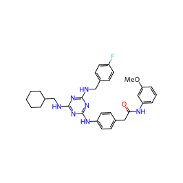 COc1cccc(NC(=O)Cc2ccc(Nc3nc(NCc4ccc(F)cc4)nc(NCC4CCCCC4)n3)cc2)c1